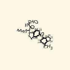 CSC(C(=O)NC=O)[C@@H]1CCc2cc(Oc3ccc(C)c4c3CCC4)ccc21